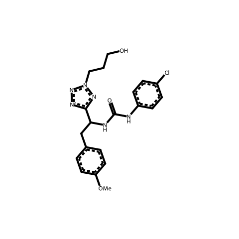 COc1ccc(CC(NC(=O)Nc2ccc(Cl)cc2)c2nnn(CCCO)n2)cc1